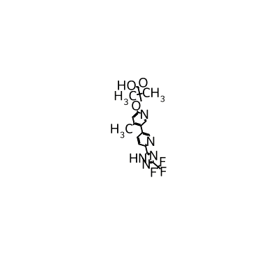 Cc1cc(OCC(C)(C)C(=O)O)ncc1-c1ccc(-c2nc(C(F)(F)F)n[nH]2)nc1